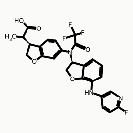 CC(C(=O)O)[C@@H]1COc2cc(N(C(=O)C(F)(F)F)[C@@H]3COc4c(Nc5ccc(F)nc5)cccc43)ccc21